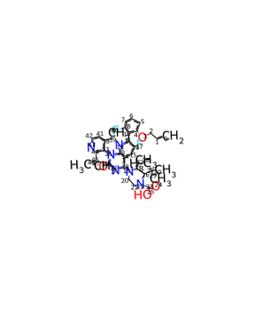 C=CCOc1cccc(F)c1-c1nc2c(cc1F)c(N1CCN(C(=O)O)C(C(C)(C)C)[C@@H]1C)nc(=O)n2-c1c(C=C)ccnc1C(C)C